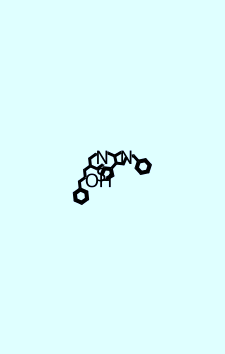 OC(Cc1ccccc1)CC1CCN(CC2CN(Cc3ccccc3)CC2c2ccsc2)CC1